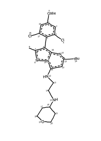 COc1cc(Cl)c(-c2c(C)nn3c(NCCNC4CCOCC4)cc(C(C)(C)C)nc23)c(Cl)c1